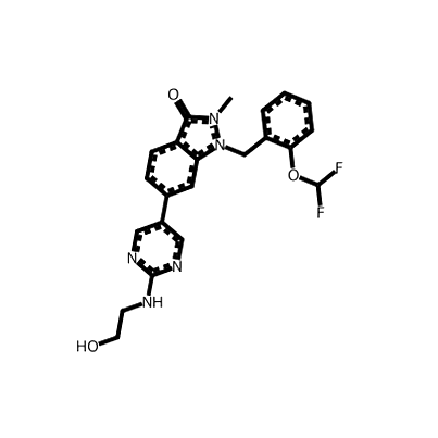 Cn1c(=O)c2ccc(-c3cnc(NCCO)nc3)cc2n1Cc1ccccc1OC(F)F